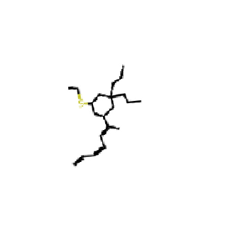 C=C/C=C\C=C(/C)C1CC(SCC)CC(CCC)(CCC)C1